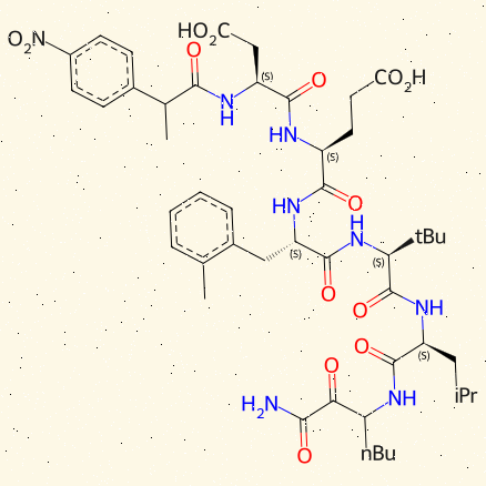 CCCCC(NC(=O)[C@H](CC(C)C)NC(=O)[C@@H](NC(=O)[C@H](Cc1ccccc1C)NC(=O)[C@H](CCC(=O)O)NC(=O)[C@H](CC(=O)O)NC(=O)C(C)c1ccc([N+](=O)[O-])cc1)C(C)(C)C)C(=O)C(N)=O